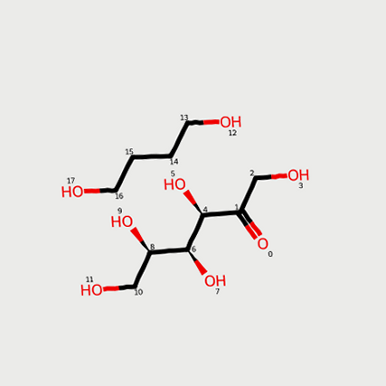 O=C(CO)[C@H](O)[C@@H](O)[C@H](O)CO.OCCCCO